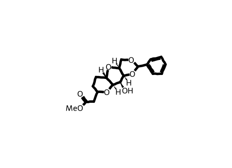 COC(=O)CC1CC[C@@H]2O[C@H]3COC(c4ccccc4)O[C@H]3[C@@H](O)[C@H]2O1